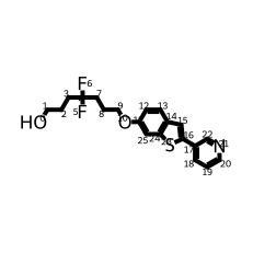 OCCCC(F)(F)CCCOc1ccc2cc(-c3cccnc3)sc2c1